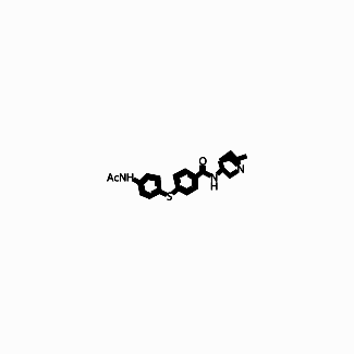 CC(=O)Nc1ccc(Sc2ccc(C(=O)NC3CN4CCC3CC4C)cc2)cc1